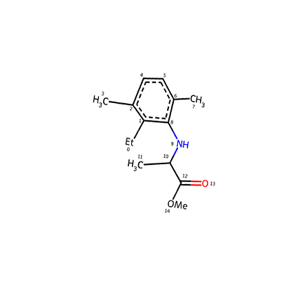 CCc1c(C)ccc(C)c1NC(C)C(=O)OC